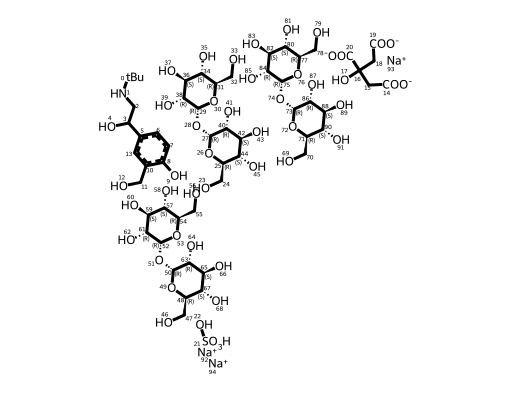 CC(C)(C)NCC(O)c1ccc(O)c(CO)c1.O=C([O-])CC(O)(CC(=O)[O-])C(=O)[O-].O=S(=O)(O)O.OC[C@H]1O[C@H](O[C@H]2O[C@H](CO)[C@@H](O)[C@H](O)[C@H]2O)[C@H](O)[C@@H](O)[C@@H]1O.OC[C@H]1O[C@H](O[C@H]2O[C@H](CO)[C@@H](O)[C@H](O)[C@H]2O)[C@H](O)[C@@H](O)[C@@H]1O.OC[C@H]1O[C@H](O[C@H]2O[C@H](CO)[C@@H](O)[C@H](O)[C@H]2O)[C@H](O)[C@@H](O)[C@@H]1O.[Na+].[Na+].[Na+]